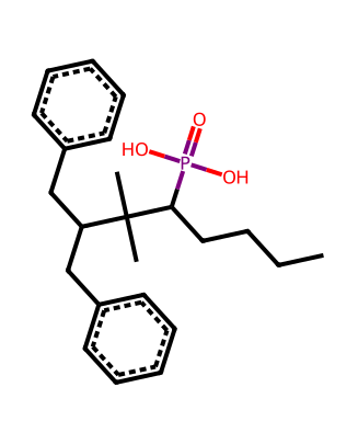 CCCCC(C(C)(C)[C](Cc1ccccc1)Cc1ccccc1)P(=O)(O)O